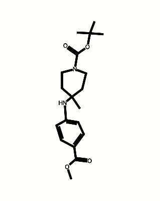 COC(=O)c1ccc(NC2(C)CCN(C(=O)OC(C)(C)C)CC2)cc1